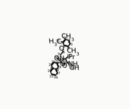 Cc1ccc(C)c(OCCN(C(C(=O)NO)C(C)C)S(=O)(=O)c2ccc3ccccc3c2)c1C